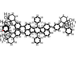 CC1(C)CCCC2c3cc(-c4ccc5c6c(-c7ccccc7)c7c8ccc(-c9ccc%10c(c9)C9CCCC(C)(C)C9(C)N%10c9ccccc9)c9c(-c%10ccc%11c(c%10)C%10CCCC(C)(C)C%10(C)N%11c%10ccccc%10)ccc(c7c(-c7ccccc7)c6c6cccc4c65)c98)ccc3N(c3ccccc3)C21C